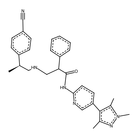 Cc1nn(C)c(C)c1-c1ccc(NC(=O)C(CNC[C@@H](C)c2ccc(C#N)cc2)c2ccccc2)nc1